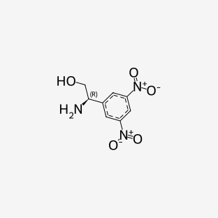 N[C@@H](CO)c1cc([N+](=O)[O-])cc([N+](=O)[O-])c1